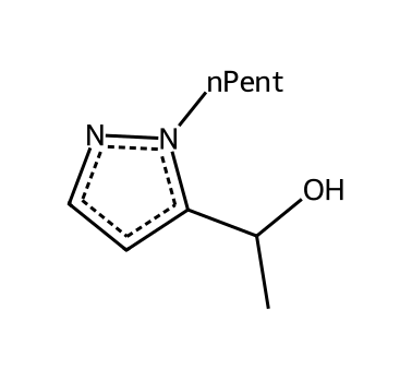 CCCCCn1nccc1C(C)O